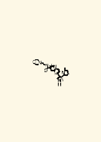 Cc1cccc(-c2n[nH]cc2-c2ccc3ncc(C(=O)NCCN4CCOCC4)cc3n2)n1